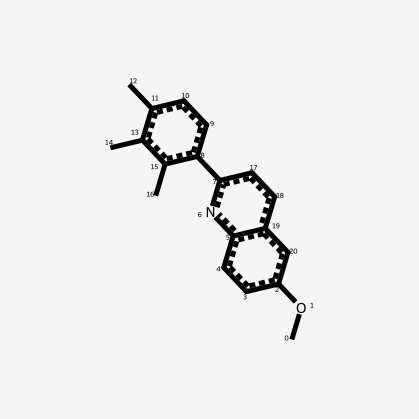 COc1ccc2nc(-c3ccc(C)c(C)c3C)ccc2c1